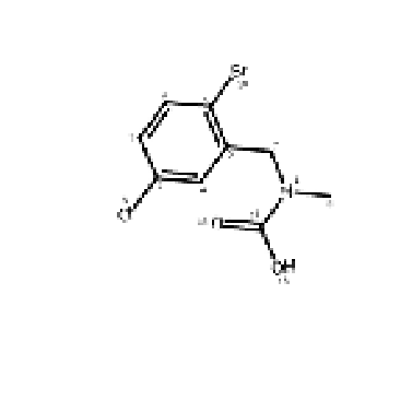 CN(Cc1cc(Cl)ccc1Br)C(=O)O